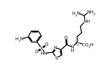 Nc1cccc(S(=O)(=O)Nc2nc(C(=O)N[C@@H](CCCNC(N)N)C(=O)O)cs2)c1